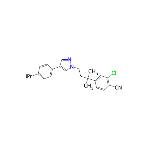 CC(C)c1ccc(-c2cnn(CCC(C)(C)c3ccc(C#N)c(Cl)c3)c2)cc1